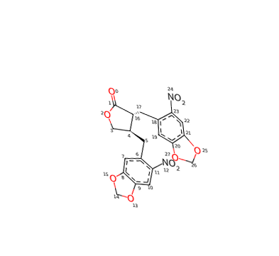 O=C1OC[C@H](Cc2cc3c(cc2[N+](=O)[O-])OCO3)[C@H]1Cc1cc2c(cc1[N+](=O)[O-])OCO2